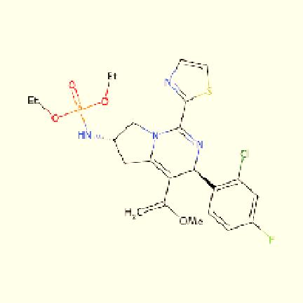 C=C(OC)C1=C2C[C@H](NP(=O)(OCC)OCC)CN2C(c2nccs2)=N[C@H]1c1ccc(F)cc1Cl